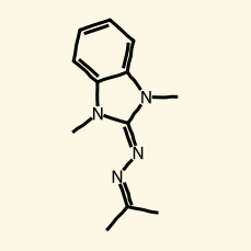 CC(C)=NN=c1n(C)c2ccccc2n1C